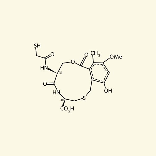 COc1cc(O)c2c(c1C)C(=O)OC[C@H](NC(=O)CS)C(=O)N[C@H](C(=O)O)CSC2